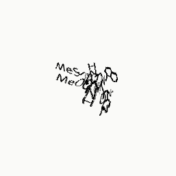 COC(=O)[C@H](CCSC)NC(=O)CN(Cc1cccc2ccccc12)C(C(=O)CN(C)c1ccncc1)[C@@H]1CCCN1